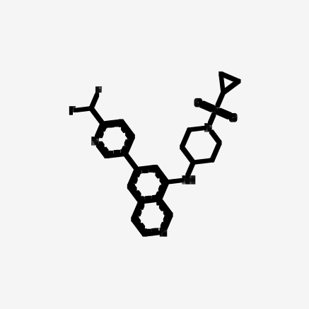 O=S(=O)(C1CC1)N1CCC(Nc2cc(-c3ccc(C(F)F)nc3)cc3ccncc23)CC1